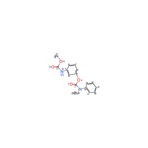 CCCCN(C(=O)Oc1cccc(NC(=O)OC(C)C)c1)c1ccccc1